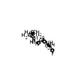 C=C(CNCCNc1cc(Oc2ccc(NC(=O)NC(=O)Cc3ccc(F)cc3)cc2F)ccn1)S(=O)(=O)C(C)(C)C